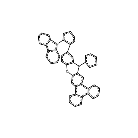 c1ccc(N2c3cc(-c4ccccc4-n4c5ccccc5c5ccccc54)ccc3Oc3cc4c5ccccc5c5ccccc5c4cc32)cc1